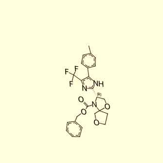 Cc1ccc(-c2[nH]c([C@@H]3COC4(CCOC4)N3C(=O)OCc3ccccc3)nc2C(F)(F)F)cc1